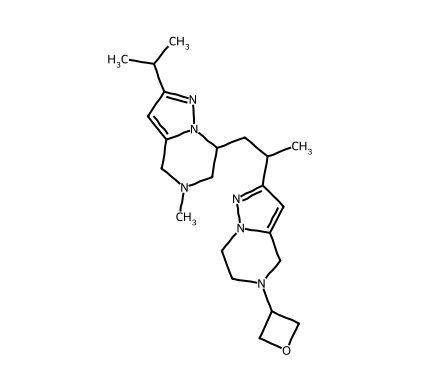 CC(C)c1cc2n(n1)C(CC(C)c1cc3n(n1)CCN(C1COC1)C3)CN(C)C2